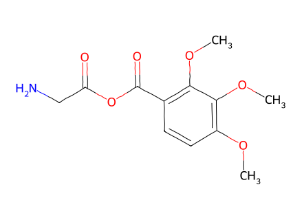 COc1ccc(C(=O)OC(=O)CN)c(OC)c1OC